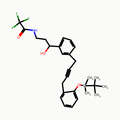 CC(C)(C)[Si](C)(C)Oc1ccccc1CC#CCc1cccc(C(O)CCNC(=O)C(F)(F)F)c1